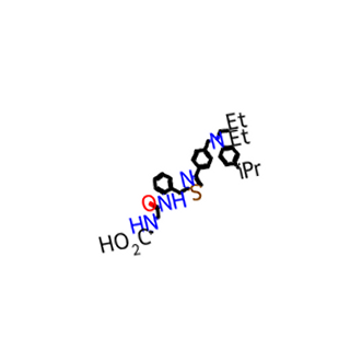 CCC(CC)CN(Cc1ccc(-c2csc(Cc3ccccc3NC(=O)CNCC(=O)O)n2)cc1)c1ccc(C(C)C)cc1